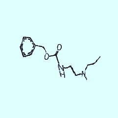 CCCN(C)CCNC(=O)OCc1ccccc1